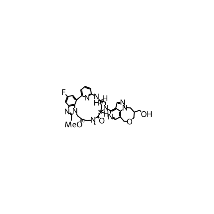 CO[C@H]1CN(C)C(=O)[C@@H]2C[C@@H](CN2c2ncc3c4c2cnn4CC(CO)COC3)Nc2cccc(n2)-c2cc(F)cc3nc(C)n(c23)C1